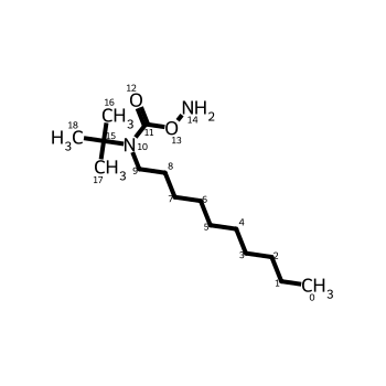 CCCCCCCCCCN(C(=O)ON)C(C)(C)C